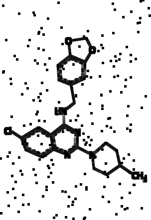 CC1CCN(c2nc(NCc3ccc4c(c3)OCO4)c3cc(Cl)ccc3n2)CC1